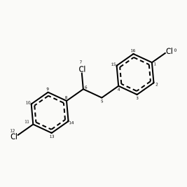 Clc1ccc(CC(Cl)c2ccc(Cl)cc2)cc1